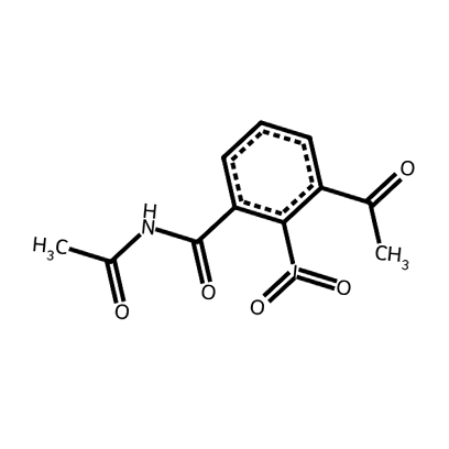 CC(=O)NC(=O)c1cccc(C(C)=O)c1I(=O)=O